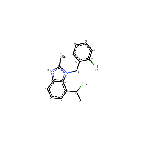 CCCCc1nc2cccc(C(C)Cl)c2n1Cc1ccccc1Cl